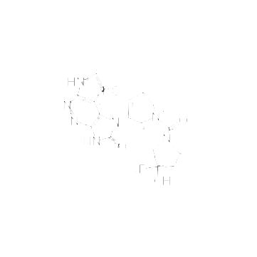 C[C@@H]1CCN(C(=O)N2CCC(C)(F)C2)C[C@@H]1n1c(=O)[nH]c2nnc3[nH]ccc3c21